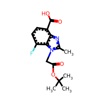 Cc1nc2c(C(=O)O)ccc(F)c2n1CC(=O)OC(C)(C)C